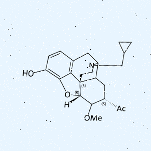 COC1[C@@H](C(C)=O)CC2C3Cc4ccc(O)c5c4[C@@]2(CCN3CC2CC2)[C@H]1O5